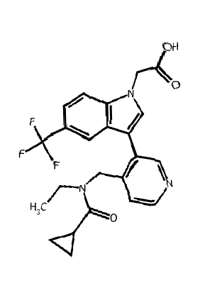 CCN(Cc1ccncc1-c1cn(CC(=O)O)c2ccc(C(F)(F)F)cc12)C(=O)C1CC1